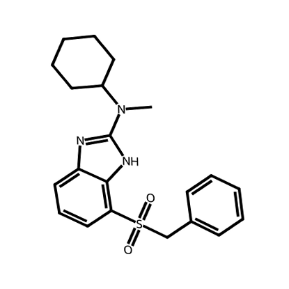 CN(c1nc2cccc(S(=O)(=O)Cc3ccccc3)c2[nH]1)C1CCCCC1